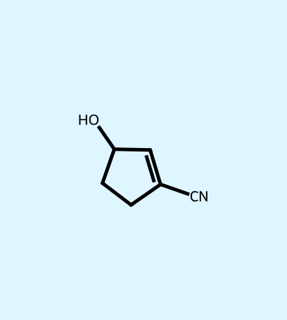 N#CC1=CC(O)CC1